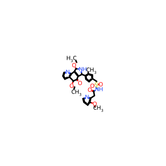 CCOC1NC(c2ccc(CS(=O)(=O)NC(=O)Cc3ncccc3OC)cc2C)C2=C1c1ncccc1C(OCC)C2=O